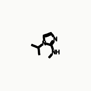 CNc1nccn1C(C)C